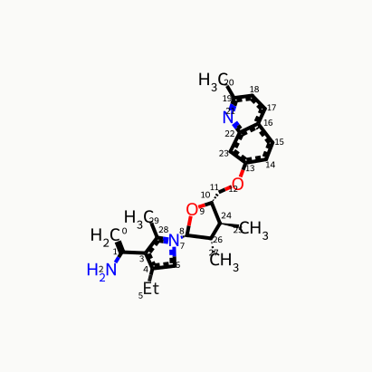 C=C(N)c1c(CC)cn([C@@H]2O[C@H](COc3ccc4ccc(C)nc4c3)[C@@H](C)[C@@H]2C)c1C